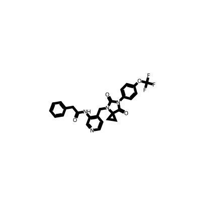 O=C(Cc1ccccc1)Nc1cnccc1CN1C(=O)N(c2ccc(OC(F)(F)F)cc2)C(=O)C12CC2